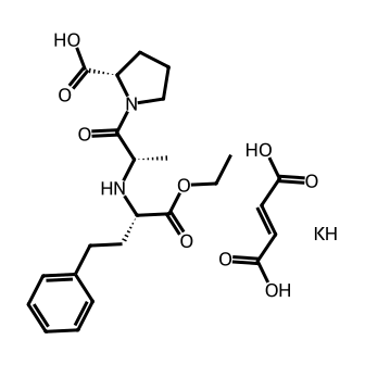 CCOC(=O)[C@H](CCc1ccccc1)N[C@@H](C)C(=O)N1CCC[C@H]1C(=O)O.O=C(O)C=CC(=O)O.[KH]